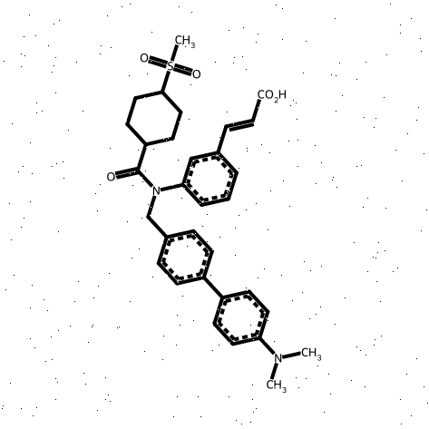 CN(C)c1ccc(-c2ccc(CN(C(=O)C3CCC(S(C)(=O)=O)CC3)c3cccc(C=CC(=O)O)c3)cc2)cc1